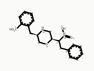 O=C(O)c1ccccc1C[C@@H]1CO[C@H](C(Cc2ccccc2)[PH](=O)O)CN1